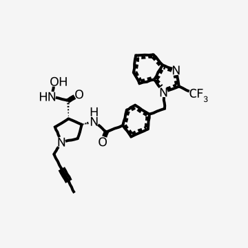 CC#CCN1C[C@H](C(=O)NO)[C@H](NC(=O)c2ccc(Cn3c(C(F)(F)F)nc4ccccc43)cc2)C1